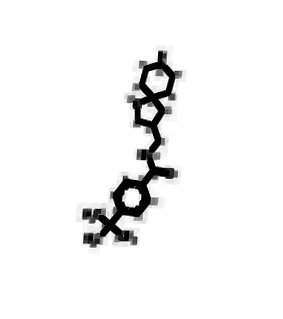 CC(C)(C)c1ccc(C(=O)NCC2COC3(CCNCC3)C2)cc1